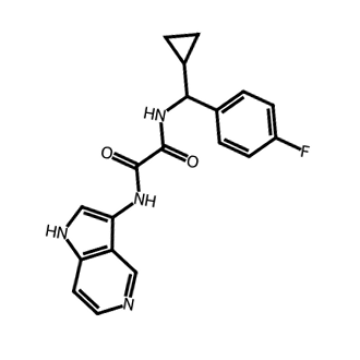 O=C(Nc1c[nH]c2ccncc12)C(=O)NC(c1ccc(F)cc1)C1CC1